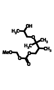 COCOC(=O)OCC(C)C(C)(C)OCC(C)O